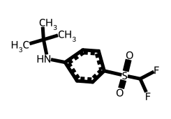 CC(C)(C)Nc1ccc(S(=O)(=O)C(F)F)cc1